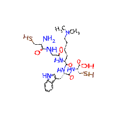 CN(C)CCCC[C@H](NC(=O)CNC(=O)[C@@H](N)CS)C(=O)N[C@@H](Cc1c[nH]c2ccccc12)C(=O)N[C@@H](CS)C(=O)O